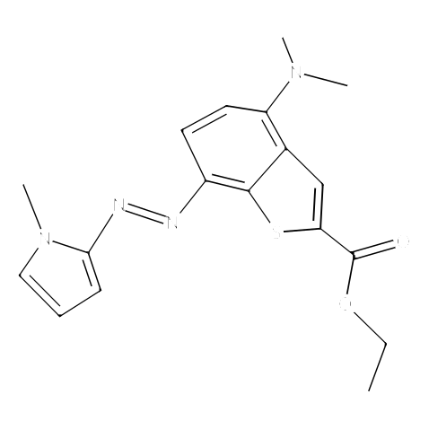 CCOC(=O)c1cc2c(N(C)C)ccc(/N=N/c3cccn3C)c2s1